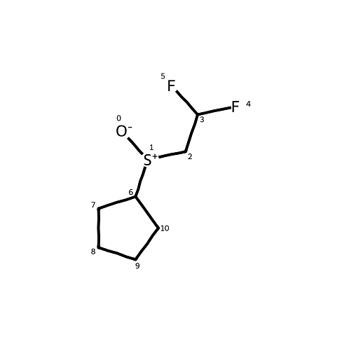 [O-][S+](CC(F)F)C1CCCC1